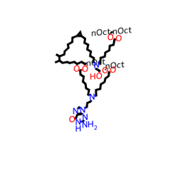 CCCCCCCCOC(=O)CCCCCCCN(CCCCCCCC(=O)OC(CCCCCCCC)CCCCCCC(C)C(C)CCCCCCC1CC1CCCCCCCCN(CCO)CCCCCCCC(=O)OC(CCCCCCCC)CCCCCCCC)CCCn1cnc2c(=O)[nH]c(N)nc21